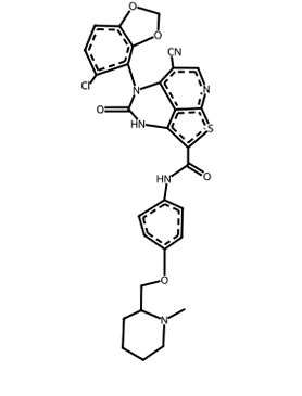 CN1CCCCC1COc1ccc(NC(=O)c2sc3ncc(C#N)c4c3c2NC(=O)N4c2c(Cl)ccc3c2OCO3)cc1